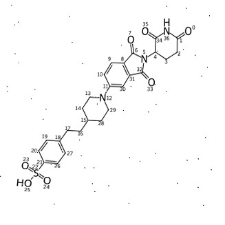 O=C1CCC(N2C(=O)c3ccc(N4CCC(CCc5ccc(S(=O)(=O)O)cc5)CC4)cc3C2=O)C(=O)N1